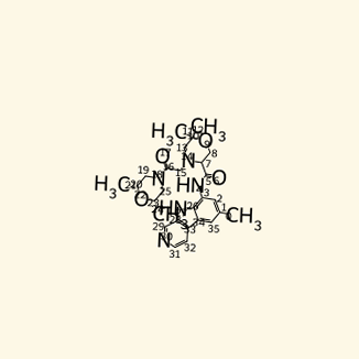 Cc1cc(NC(=O)C2COC(C)(C)CN2CC(=O)N2C[C@@H](C)O[C@@H](C)C2)c2[nH]c3cnccc3c2c1